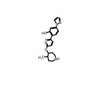 CC1CCNCCC1Oc1ccc(-c2ccc(-n3cccn3)cc2O)nn1